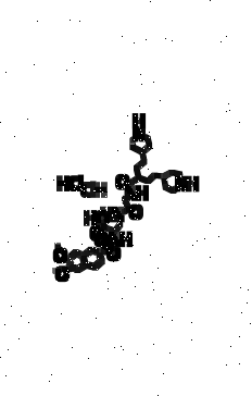 COc1cc2ccc(S(=O)(=O)NC(CNC(=O)CNC(=O)C(CCC3CCNCC3)CCC3CCNCC3)C(=O)O)cc2cc1OC.Cl.Cl